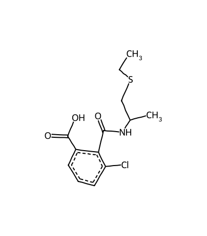 CCSCC(C)NC(=O)c1c(Cl)cccc1C(=O)O